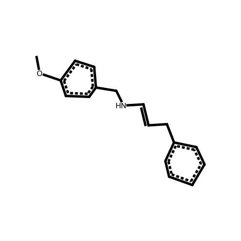 COc1ccc(CNC=CCc2ccccc2)cc1